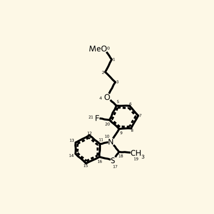 COCCCOc1cccc(N2c3ccccc3SC2C)c1F